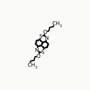 CCCCOC1=Nc2ccc3c4c(ccc(c24)S1)N=C(OCCCC)S3